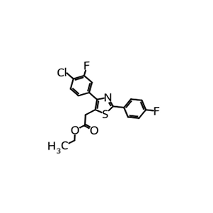 CCOC(=O)Cc1sc(-c2ccc(F)cc2)nc1-c1ccc(Cl)c(F)c1